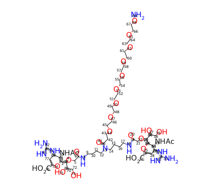 CC(=O)N[C@H]1[C@H]([C@H](OCC(=O)NCCCCN(CCCCNC(=O)CO[C@@H]([C@@H]2OC(C(=O)O)=C[C@H](NC(=N)N)[C@H]2NC(C)=O)[C@H](O)CO)C(=O)CCOCCOCCOCCOCCOCCOCCOCCOCCON)[C@H](O)CO)OC(C(=O)O)=C[C@@H]1NC(=N)N